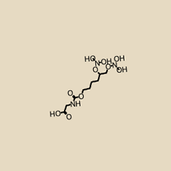 O=C(O)CNC(=O)OCCCCC(CON(O)O)ON(O)O